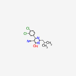 CC(C)Cc1nc(O)c(C#N)c(-c2ccc(Cl)c(Cl)c2)n1